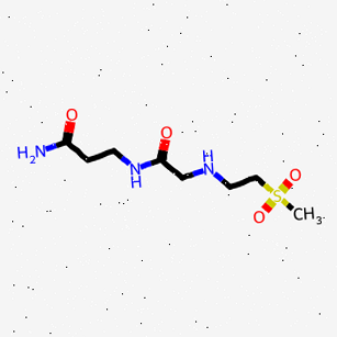 CS(=O)(=O)CCNCC(=O)NCCC(N)=O